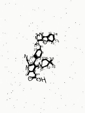 Cc1nc(C#N)c(-c2ccc(CN(C)c3ncnc4c3oc3ccccc34)cc2)c(N2CCC(C)(C)CC2)c1CC(=O)O